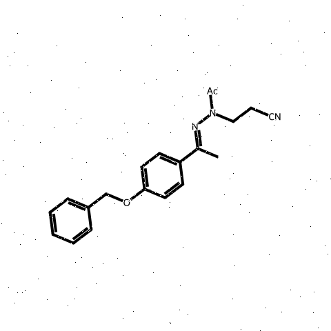 CC(=O)N(CCC#N)N=C(C)c1ccc(OCc2ccccc2)cc1